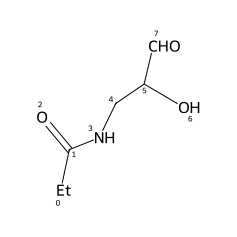 CCC(=O)NCC(O)C=O